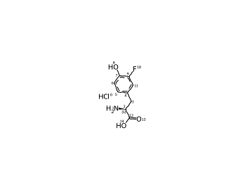 Cl.N[C@@H](Cc1ccc(O)c(F)c1)C(=O)O